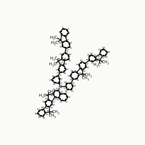 CC1(C)c2ccccc2-c2ccc(-c3ccc4c(c3)C(C)(C)c3cc(-c5cccc(N(c6cccc(-c7ccc8c(c7)C(C)(C)c7cc(-c9ccc%10c(c9)C(C)(C)c9ccccc9-%10)ccc7-8)c6)c6cc7c(c8ccccc68)-c6cc8c(cc6C7(C)C)-c6ccccc6C8(C)C)c5)ccc3-4)cc21